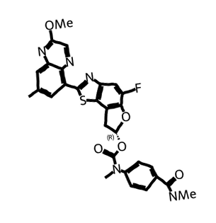 CNC(=O)c1ccc(N(C)C(=O)O[C@@H]2Cc3c(c(F)cc4nc(-c5cc(C)cc6nc(OC)cnc56)sc34)O2)cc1